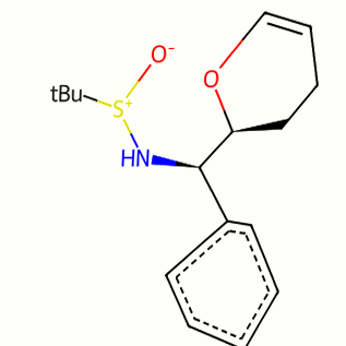 CC(C)(C)[S+]([O-])N[C@H](c1ccccc1)[C@@H]1CCC=CO1